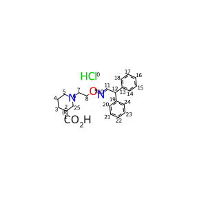 Cl.O=C(O)[C@@H]1CCCN(CCON=CC(c2ccccc2)c2ccccc2)C1